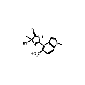 CC(C)C1(C)N=C(c2c(C(=O)O)ccc3c2ccn3C)NC1=O